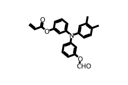 C=CC(=O)Oc1cccc(N(c2cccc(OC=O)c2)c2ccc(C)c(C)c2)c1